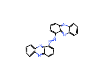 c1ccc2nc3c(N=Nc4cccc5nc6ccccc6nc45)cccc3nc2c1